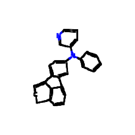 C1=C2c3ccc(N(c4ccccc4)c4cccnc4)cc3-c3cccc(c32)CC1